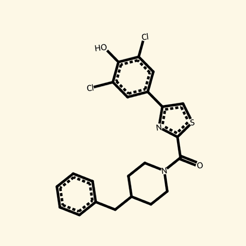 O=C(c1nc(-c2cc(Cl)c(O)c(Cl)c2)cs1)N1CCC(Cc2ccccc2)CC1